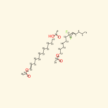 CC(=O)O.CCCC=CC(F)(F)CCCCCCOC(C)=O.CCCCCCCCCCC=COC(C)=O